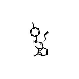 C=CC[C@@H](Nc1ccc(C)cc1)C12C=CC(O1)C(C)=C2C